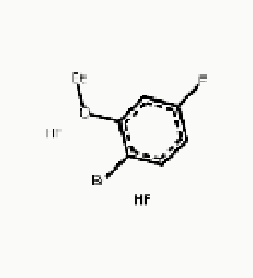 CCOc1cc(F)ccc1Br.F.F